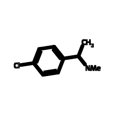 [CH2]NC(C)c1ccc(Cl)cc1